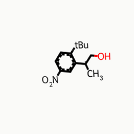 C[C](CO)c1cc([N+](=O)[O-])ccc1C(C)(C)C